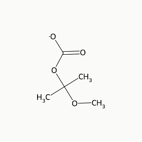 COC(C)(C)OC([O])=O